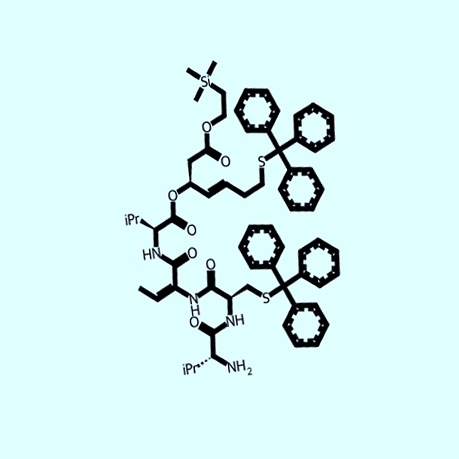 C/C=C(/NC(=O)[C@@H](CSC(c1ccccc1)(c1ccccc1)c1ccccc1)NC(=O)[C@H](N)C(C)C)C(=O)N[C@H](C(=O)O[C@H](/C=C/CCSC(c1ccccc1)(c1ccccc1)c1ccccc1)CC(=O)OCC[Si](C)(C)C)C(C)C